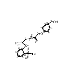 CC(CCNC(=O)COc1ccc(CO)cc1)Sc1cnccc1C(F)(F)F